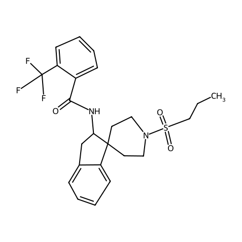 CCCS(=O)(=O)N1CCC2(CC1)c1ccccc1CC2NC(=O)c1ccccc1C(F)(F)F